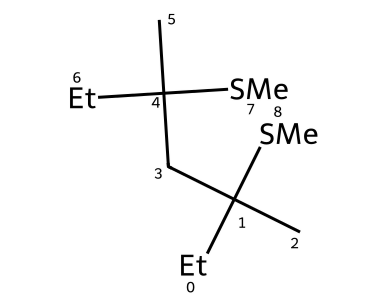 CCC(C)(CC(C)(CC)SC)SC